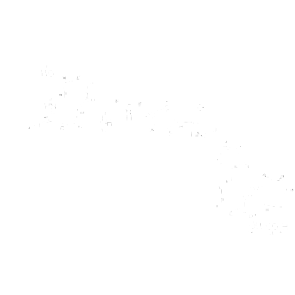 O=C(NCc1ccc(-c2cccc(C(O)(C(=O)O)c3ccccc3)c2)s1)c1ccc(CNCC(O)c2ccc(O)c3[nH]c(=O)ccc23)s1